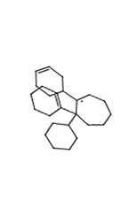 C1=CCC([C]2CCCCCC2(C2=CCCCC2)C2CCCCC2)CC1